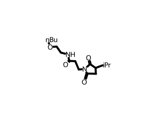 CCCCOCCNC(=O)CCN1C(=O)CC(C(C)C)C1=O